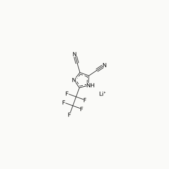 N#Cc1nc(C(F)(F)C(F)(F)F)[nH]c1C#N.[Li+]